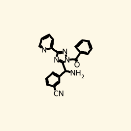 N#Cc1cccc(C(N)c2nc(-c3ccccn3)nn2C(=O)c2ccccc2)c1